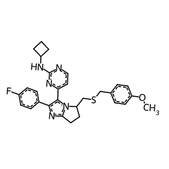 COc1ccc(CSCC2CCc3nc(-c4ccc(F)cc4)c(-c4ccnc(NC5CCC5)n4)n32)cc1